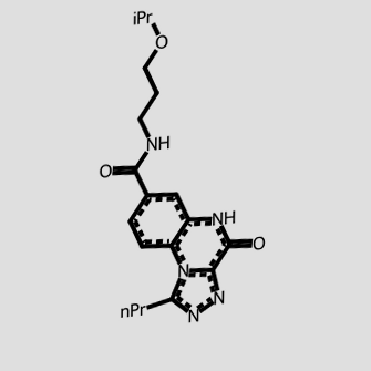 CCCc1nnc2c(=O)[nH]c3cc(C(=O)NCCCOC(C)C)ccc3n12